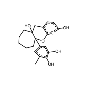 Cc1cc(C23CCCCCC2(O)Cc2ccc(O)cc2O3)cc(O)c1O